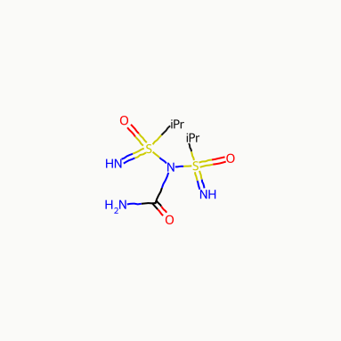 CC(C)S(=N)(=O)N(C(N)=O)S(=N)(=O)C(C)C